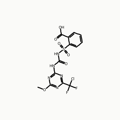 COc1nc(NC(=O)NS(=O)(=O)c2ccccc2C(=O)O)nc(C(F)(F)Cl)n1